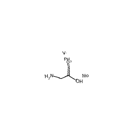 NCC(=O)O.P.[Mo].[V]